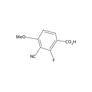 COc1ccc(C(=O)O)c(F)c1C#N